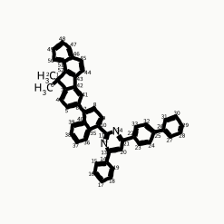 CC1(C)c2ccc(-c3ccc(-c4nc(-c5ccccc5)cc(-c5ccc(-c6ccccc6)cc5)n4)c4ccccc34)cc2-c2ccc3ccccc3c21